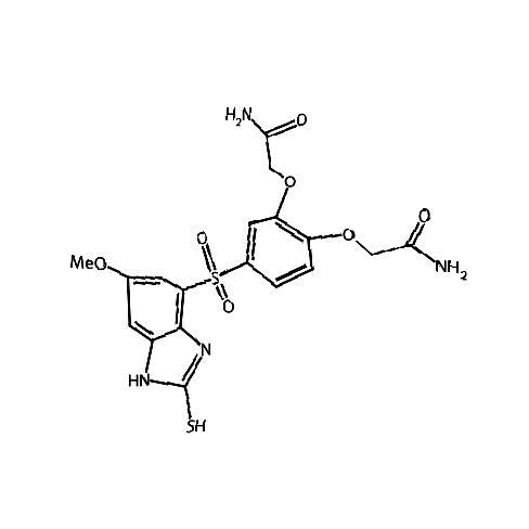 COc1cc(S(=O)(=O)c2ccc(OCC(N)=O)c(OCC(N)=O)c2)c2nc(S)[nH]c2c1